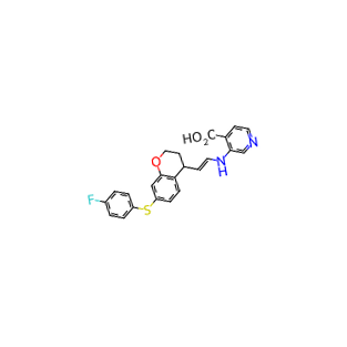 O=C(O)c1ccncc1N/C=C/C1CCOc2cc(Sc3ccc(F)cc3)ccc21